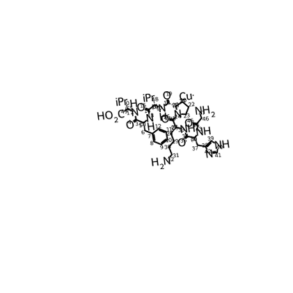 CC(C)[C@H](NC(=O)[C@H](Cc1ccccc1)NC(=O)[C@@H](NC(=O)[C@@H]1CCCN1C(=O)[C@H](CCCCN)NC(=O)[C@H](Cc1c[nH]cn1)NC(=O)CN)C(C)C)C(=O)O.[Cu]